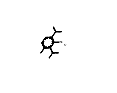 Cc1ccc(C(C)C)c(O)c1C(C)C.[K]